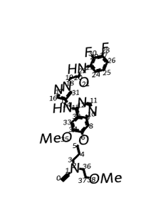 C#CN(CCCOc1cc2ncnc(Nc3cnn(CC(=O)Nc4cccc(F)c4F)c3)c2cc1OC)CCOC